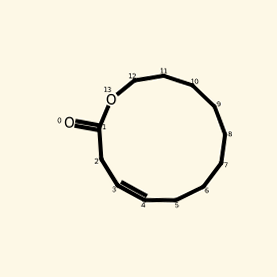 O=C1CC=CCCCCCCCCO1